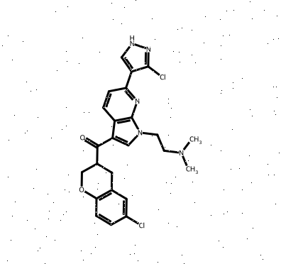 CN(C)CCn1cc(C(=O)C2COc3ccc(Cl)cc3C2)c2ccc(-c3c[nH]nc3Cl)nc21